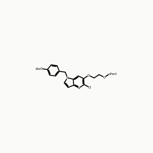 CCCCCOCCOc1cc2c(ccn2Cc2ccc(OC)cc2)nc1Cl